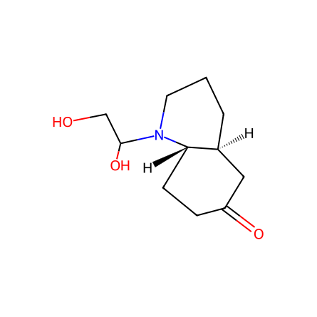 O=C1CC[C@H]2[C@@H](CCCN2C(O)CO)C1